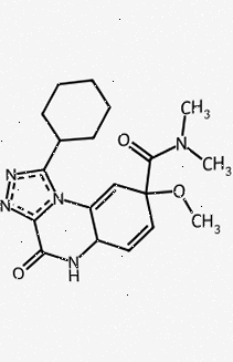 COC1(C(=O)N(C)C)C=CC2NC(=O)c3nnc(C4CCCCC4)n3C2=C1